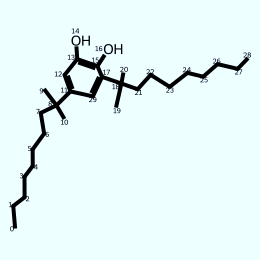 CCCCCCCCC(C)(C)c1cc(O)c(O)c(C(C)(C)CCCCCCCC)c1